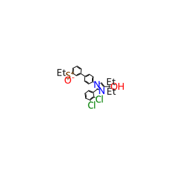 CC[S+]([O-])c1cccc(-c2ccc(-n3cc(C(O)(CC)CC)nc3-c3cccc(Cl)c3Cl)cc2)c1